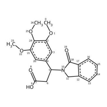 COc1cc(C(CC(=O)O)N2Cc3ccccc3C2=O)cc(OC)c1OC